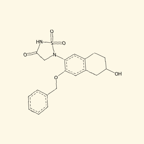 O=C1CN(c2cc3c(cc2OCc2ccccc2)CC(O)CC3)S(=O)(=O)N1